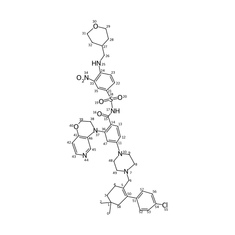 CC1(C)CCC(CN2CCN(c3ccc(C(=O)NS(=O)(=O)c4ccc(NCC5CCOCC5)c([N+](=O)[O-])c4)c(N4CCOc5ccncc54)c3)CC2)=C(c2ccc(Cl)cc2)C1